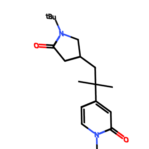 Cn1ccc(C(C)(C)CC2CC(=O)N(C(C)(C)C)C2)cc1=O